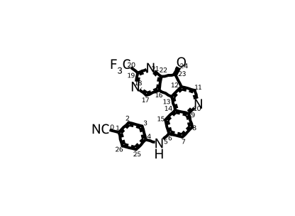 N#Cc1ccc(Nc2ccc3ncc4c(c3c2)-c2cnc(C(F)(F)F)nc2C4=O)cc1